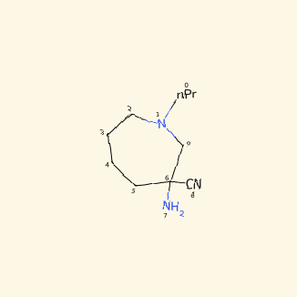 CCCN1CCCCC(N)(C#N)C1